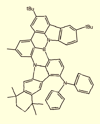 Cc1cc2c3c(c1)-n1c4cc5c(cc4c4c(N(c6ccccc6)c6ccccc6)ccc(c41)B3n1c3ccc(C(C)(C)C)cc3c3cc(C(C)(C)C)cc-2c31)C(C)(C)CCC5(C)C